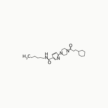 CCCCCCNC(=O)c1ccc(N2CCN(C(=O)CCC3CCCCC3)CC2)nc1